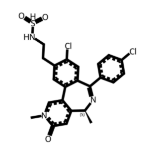 C[C@@H]1N=C(c2ccc(Cl)cc2)c2cc(Cl)c(CCN[SH](=O)=O)cc2-c2cn(C)c(=O)cc21